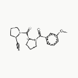 COc1cccc(C(=O)N2CCC[C@H]2C(=O)N2CCCC2C#N)c1